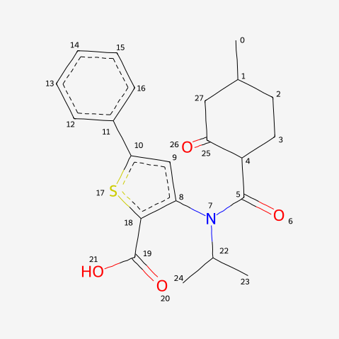 CC1CCC(C(=O)N(c2cc(-c3ccccc3)sc2C(=O)O)C(C)C)C(=O)C1